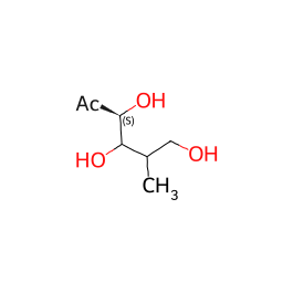 CC(=O)[C@@H](O)C(O)C(C)CO